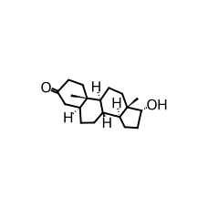 C[C@]12CCC(=O)C[C@@H]1CC[C@@H]1[C@@H]2CC[C@]2(C)[C@H](O)CC[C@@H]12